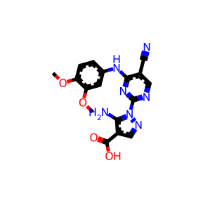 COc1ccc(Nc2nc(-n3ncc(C(=O)O)c3N)ncc2C#N)cc1OC